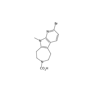 Cn1c2c(c3ccc(Br)nc31)CCN(C(=O)O)CC2